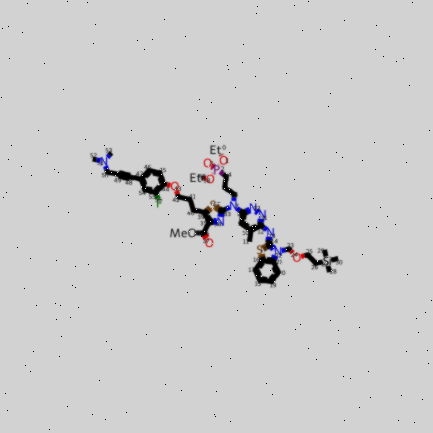 CCOP(=O)(CCCN(c1cc(C)c(/N=c2\sc3ccccc3n2COCC[Si](C)(C)C)nn1)c1nc(C(=O)OC)c(CCCOc2ccc(C#CCN(C)C)cc2F)s1)OCC